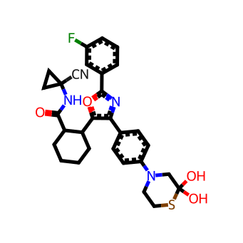 N#CC1(NC(=O)C2CCCCC2c2oc(-c3cccc(F)c3)nc2-c2ccc(N3CCSC(O)(O)C3)cc2)CC1